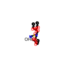 CC(CC1CCCCC1)C(=O)OCC(COC=O)OC(=O)CCCN(CCCC(=O)OC(COC(=O)C(C)CC1CCCCC1)COC(=O)C(C)CC1CCCCC1)C(=O)SCCCN(C)C